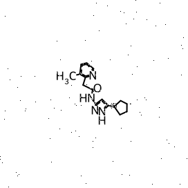 Cc1cccnc1CC(=O)Nc1cc([C@H]2C[CH]CC2)[nH]n1